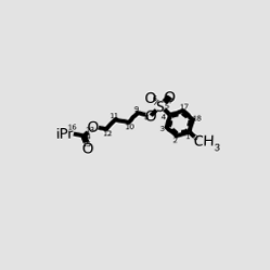 Cc1ccc(S(=O)(=O)OCCCCOC(=O)C(C)C)cc1